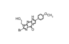 COc1ccc(-c2cn3c(=O)c4nc(Br)n(CCO)c4nc3[nH]2)cc1